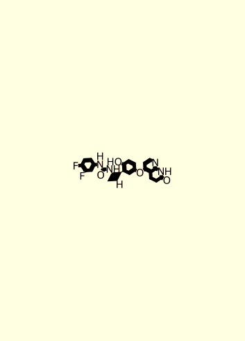 O=C1CCc2c(Oc3ccc(O)c([C@@H]4[C@@H]5C[C@@]45NC(=O)Nc4ccc(F)c(F)c4)c3)ccnc2N1